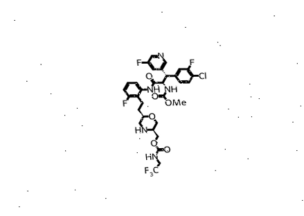 COC(=O)N[C@H](C(=O)Nc1cccc(F)c1CC[C@@H]1CN[C@H](COC(=O)NCC(F)(F)F)CO1)[C@H](c1cncc(F)c1)c1ccc(Cl)c(F)c1